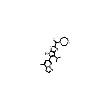 Cc1cc(-c2[nH]c3sc(C(=O)N4CCCOCC4)nc3c2C(C)C)cn2ncnc12